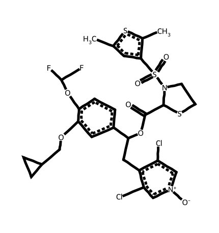 Cc1cc(S(=O)(=O)N2CCSC2C(=O)OC(Cc2c(Cl)c[n+]([O-])cc2Cl)c2ccc(OC(F)F)c(OCC3CC3)c2)c(C)s1